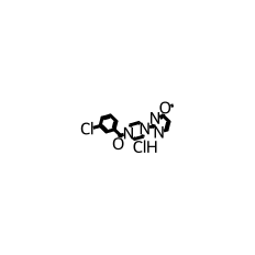 COc1ccnc(N2CCN(C(=O)c3cccc(Cl)c3)CC2)n1.Cl